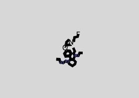 C=C/C=C\C=C1/CCCCC(C(=C/CC)/CCC)=C1c1ccc(O[C@H]2CCN(CCCF)C2)cc1